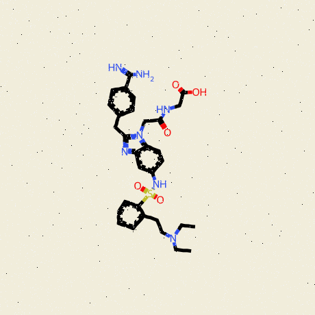 CCN(CC)CCc1ccccc1S(=O)(=O)Nc1ccc2c(c1)nc(Cc1ccc(C(=N)N)cc1)n2CC(=O)NCC(=O)O